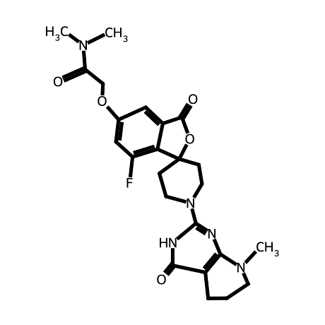 CN(C)C(=O)COc1cc(F)c2c(c1)C(=O)OC21CCN(c2nc3c(c(=O)[nH]2)CCCN3C)CC1